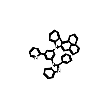 C1=Cc2cccc3cc4c(c(c23)C1)c1ccccc1n4-c1cc(-c2ccccn2)cc(-n2c(-c3ccccc3)nc3ccccc32)c1